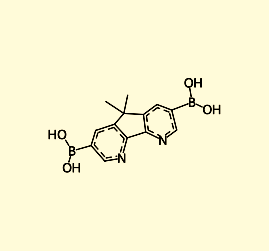 CC1(C)c2cc(B(O)O)cnc2-c2ncc(B(O)O)cc21